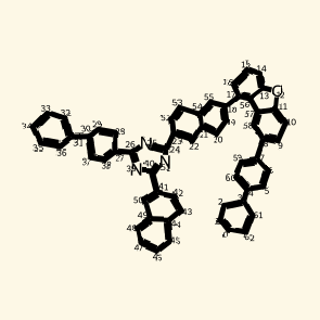 c1ccc(-c2ccc(-c3ccc4oc5cccc(-c6ccc7cc(-c8nc(-c9ccc(-c%10ccccc%10)cc9)nc(-c9ccc%10ccccc%10c9)n8)ccc7c6)c5c4c3)cc2)cc1